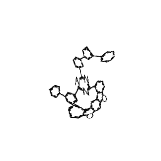 c1ccc(-c2cccc(-c3cccc(-c4nc(-c5cccc(-c6ccccc6)c5)nc(-c5cccc6oc7cc8oc9ccccc9c8cc7c56)n4)c3)c2)cc1